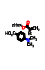 C=C(CC)C(=O)OCCCCCC.CN(C)c1ccc(C(=O)O)cc1